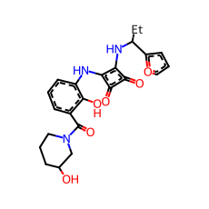 CCC(Nc1c(Nc2cccc(C(=O)N3CCCC(O)C3)c2O)c(=O)c1=O)c1ccco1